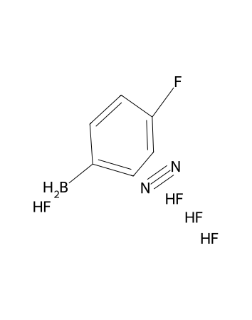 Bc1ccc(F)cc1.F.F.F.F.N#N